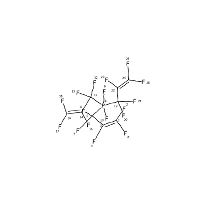 FC(F)=C(F)C(F)(F)P(F)(F)(C(F)(F)C(F)=C(F)F)C(F)(F)C(F)=C(F)F